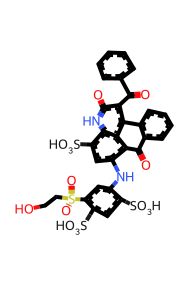 O=C(c1ccccc1)c1c2c3c(c(Nc4cc(S(=O)(=O)CCO)c(S(=O)(=O)O)cc4S(=O)(=O)O)cc(S(=O)(=O)O)c3[nH]c1=O)C(=O)c1ccccc1-2